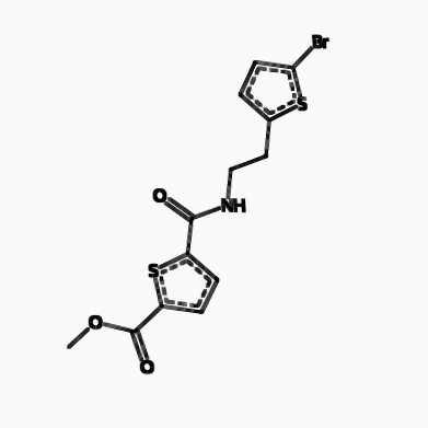 COC(=O)c1ccc(C(=O)NCCc2ccc(Br)s2)s1